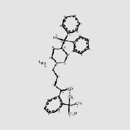 CC(C)(C(=O)O)c1ccccc1C(O)CCCN1CCC(C(O)(c2ccccc2)c2ccccc2)CC1.Cl